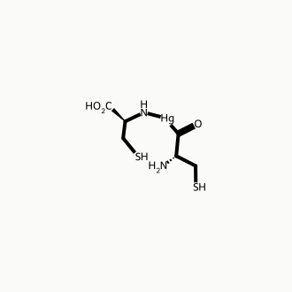 N[C@@H](CS)[C](=O)[Hg][NH][C@@H](CS)C(=O)O